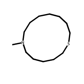 CN1CCCCCCCSCCCCC1